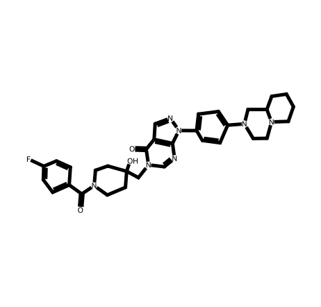 O=C(c1ccc(F)cc1)N1CCC(O)(Cn2cnc3c(cnn3-c3ccc(N4CCN5CCCCC5C4)cc3)c2=O)CC1